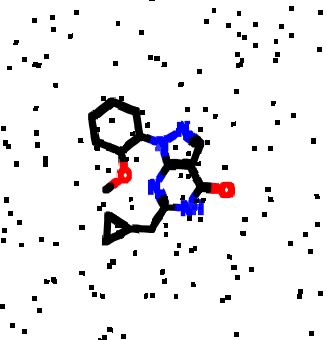 CO[C@H]1CCCCC1n1ncc2c(=O)[nH]c(CC3CC3)nc21